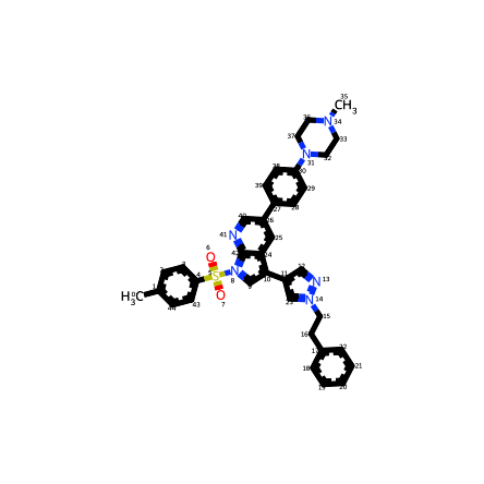 Cc1ccc(S(=O)(=O)n2cc(-c3cnn(CCc4ccccc4)c3)c3cc(-c4ccc(N5CCN(C)CC5)cc4)cnc32)cc1